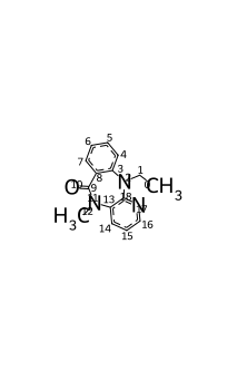 CCN1c2ccccc2C(=O)N(C)c2cccnc21